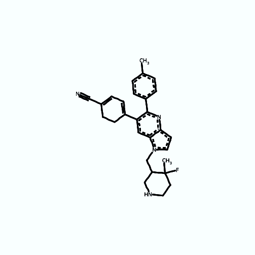 Cc1ccc(-c2nc3ccn(CC4CNCCC4(C)F)c3cc2C2=CC=C(C#N)CC2)cc1